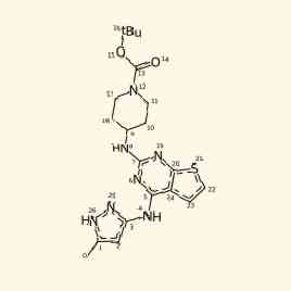 Cc1cc(Nc2nc(NC3CCN(C(=O)OC(C)(C)C)CC3)nc3sccc23)n[nH]1